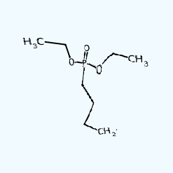 [CH2]CCCP(=O)(OCC)OCC